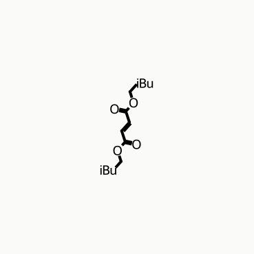 CCC(C)COC(=O)/C=C/C(=O)OCC(C)CC